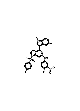 Cc1ccc(S(=O)(=O)n2ccc3c(-c4cn(C)c5ccc(F)cc45)nc(Nc4ccc(F)c([N+](=O)[O-])c4)nc32)cc1